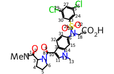 CNC(=O)C1CCCN1C(=O)c1cn(C)c2cc(N(CC(=O)O)S(=O)(=O)c3cc(Cl)cc(Cl)c3)ccc12